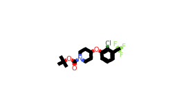 CC(C)(C)OC(=O)N1CCC(Oc2cccc(C(F)(F)F)c2Cl)CC1